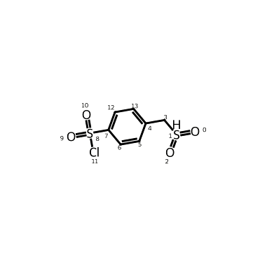 O=[SH](=O)Cc1ccc(S(=O)(=O)Cl)cc1